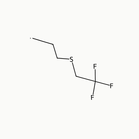 [CH2]CCSCC(F)(F)F